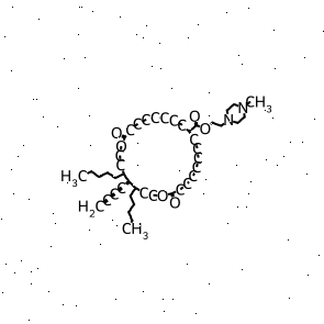 C=C=C=C=C1C(CCCCC)CCOC(=O)CCCCCCCC(C(=O)OCCN2CCN(C)CC2)CCCCCCCC(=O)OCCC1CCCCC